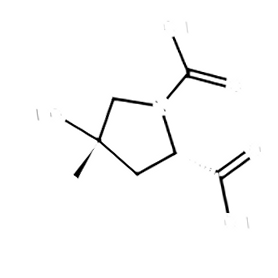 C[C@]1(O)C[C@@H](C(=O)O)N(C(=O)O)C1